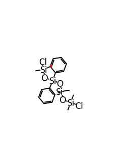 C[Si](C)(Cl)O[Si](C)(C)O[Si](O[Si](C)(C)Cl)(c1ccccc1)c1ccccc1